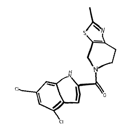 Cc1nc2c(s1)CN(C(=O)c1cc3c(Cl)cc(Cl)cc3[nH]1)CC2